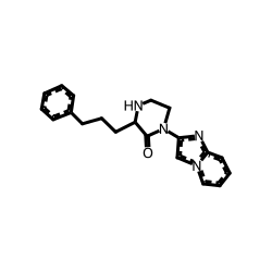 O=C1C(CCCc2ccccc2)NCCN1c1cn2ccccc2n1